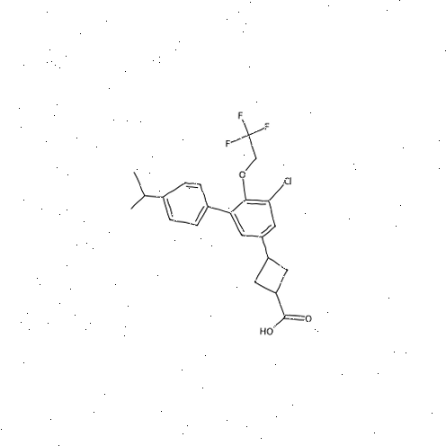 CC(C)c1ccc(-c2cc(C3CC(C(=O)O)C3)cc(Cl)c2OCC(F)(F)F)cc1